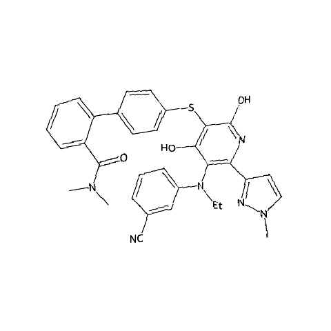 CCN(c1cccc(C#N)c1)c1c(-c2ccn(C)n2)nc(O)c(Sc2ccc(-c3ccccc3C(=O)N(C)C)cc2)c1O